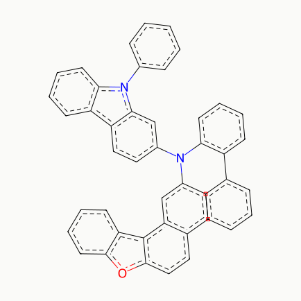 c1ccc(-c2ccccc2N(c2ccc3ccc4oc5ccccc5c4c3c2)c2ccc3c4ccccc4n(-c4ccccc4)c3c2)cc1